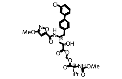 COC(=O)N[C@H](C(=O)OCOC(=O)[C@H](O)C[C@@H](Cc1ccc(-c2cccc(Cl)c2)cc1)NC(=O)c1cc(OC)no1)C(C)C